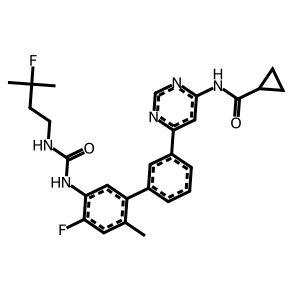 Cc1cc(F)c(NC(=O)NCCC(C)(C)F)cc1-c1cccc(-c2cc(NC(=O)C3CC3)ncn2)c1